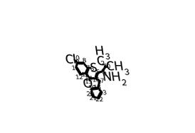 CC(C)C(N)c1sc2cc(Cl)ccc2c(=O)c1Cc1ccccc1